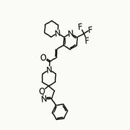 O=C(C=Cc1ccc(C(F)(F)F)nc1N1CCCCC1)N1CCC2(CC1)CC(c1ccccc1)=NO2